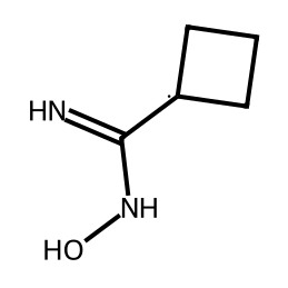 N=C(NO)[C]1CCC1